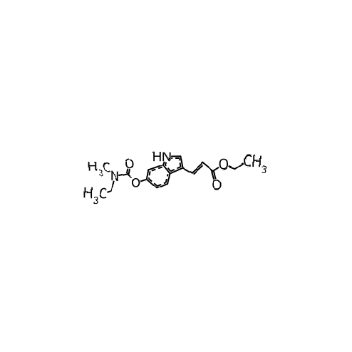 CCOC(=O)C=Cc1c[nH]c2cc(OC(=O)N(C)CC)ccc12